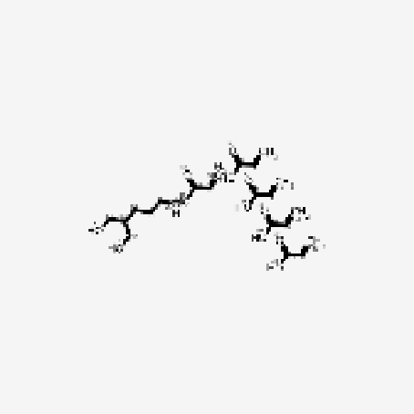 C=CC(=O)O.C=CC(=O)O.C=CC(=O)O.C=CC(=O)O.C=CC(=O)O.OCCCC(CO)CO